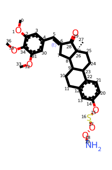 COc1cc(/C=C2\CC3C4CCc5cc(OSOON)ccc5C4CC[C@]3(C)C2=O)cc(OC)c1OC